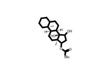 CC(C)(C)C(=O)OC1CC(O)[C@@]2(O)[C@@H]3CCC4CCCC[C@]4(C)[C@@H]3CC[C@]12C